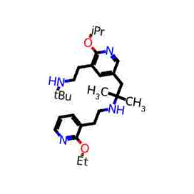 CCOc1ncccc1CCNC(C)(C)Cc1cnc(OC(C)C)c(CCNC(C)(C)C)c1